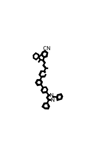 C=C(/C=C\C(=C/C)c1cccc(C2=CC=C(c3cc(-c4ccccc4)nc(-c4ccccc4)n3)CC2)c1)/C(C)=C/C=C1/c2ccc(C#N)cc2C2(CCCCC2)C1C